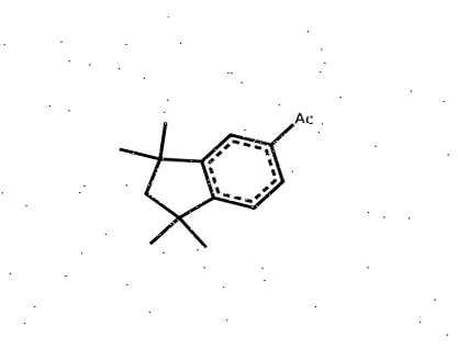 CC(=O)c1ccc2c(c1)C(C)(C)CC2(C)C